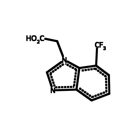 O=C(O)Cn1cnc2cccc(C(F)(F)F)c21